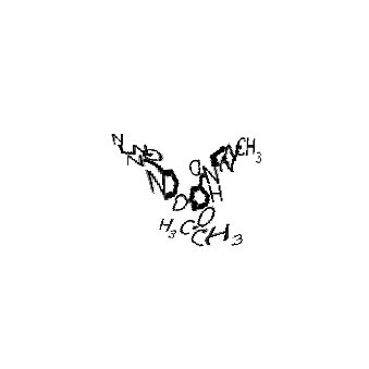 CC(C)Oc1cc(Oc2ccc(-c3nc(CC#N)no3)nc2)cc(C(=O)Nc2ccn(C)n2)c1